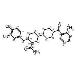 Cc1ccncc1C(=O)N1CCC(N2CC[C@H](Cc3ccc(Cl)c(Cl)c3)[C@H](C(N)=O)C2)CC1